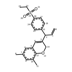 C=CC(C1=Cc2cc(C)cc(C)c2OC1)c1ccc(S(=O)(=O)CC)cc1